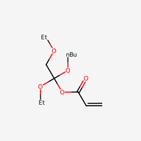 C=CC(=O)OC(COCC)(OCC)OCCCC